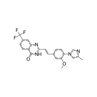 COc1cc(/C=C/c2nc3cc(C(F)(F)F)ccc3c(=O)[nH]2)ccc1-n1cnc(C)c1